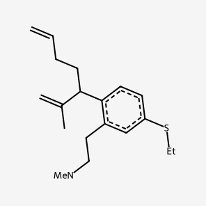 C=CCCC(C(=C)C)c1ccc(SCC)cc1CCNC